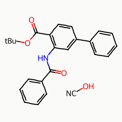 CC(C)(C)OC(=O)c1ccc(-c2ccccc2)cc1NC(=O)c1ccccc1.N#CO